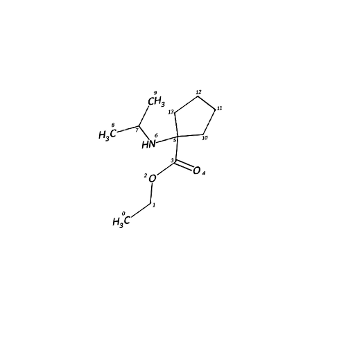 CCOC(=O)C1(NC(C)C)CCCC1